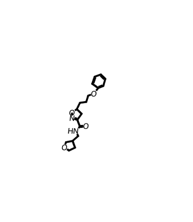 O=C(NCC1CCOC1)C1=NOC(CCCOc2ccccc2)C1